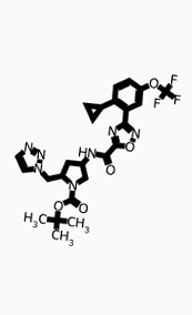 CC(C)(C)OC(=O)N1CC(NC(=O)c2nc(-c3cc(OC(F)(F)F)ccc3C3CC3)no2)CC1Cn1ccnn1